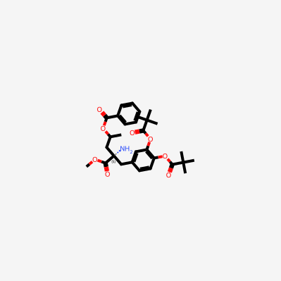 COC(=O)[C@](N)(Cc1ccc(OC(=O)C(C)(C)C)c(OC(=O)C(C)(C)C)c1)CC(C)OC(=O)c1ccccc1